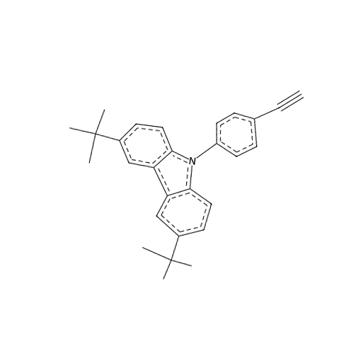 C#Cc1ccc(-n2c3ccc(C(C)(C)C)cc3c3cc(C(C)(C)C)ccc32)cc1